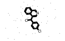 Clc1ccc(C(Cl)c2cncc3ccccc23)cc1